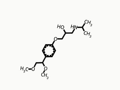 COCC(OC)c1ccc(OCC(O)CNC(C)C)cc1